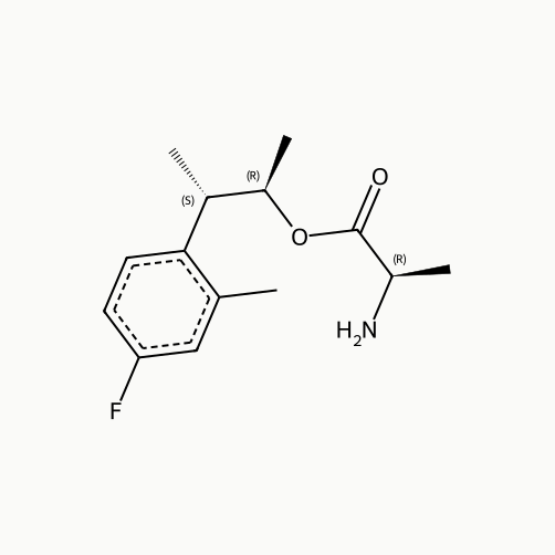 Cc1cc(F)ccc1[C@H](C)[C@@H](C)OC(=O)[C@@H](C)N